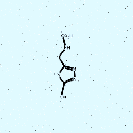 Cc1nnc(CNC(=O)O)s1